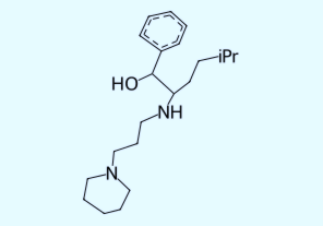 CC(C)CCC(NCCCN1CCCCC1)C(O)c1ccccc1